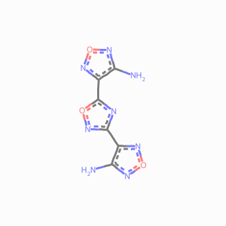 Nc1nonc1-c1noc(-c2nonc2N)n1